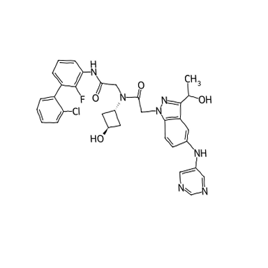 CC(O)c1nn(CC(=O)N(CC(=O)Nc2cccc(-c3ccccc3Cl)c2F)[C@H]2C[C@H](O)C2)c2ccc(Nc3cncnc3)cc12